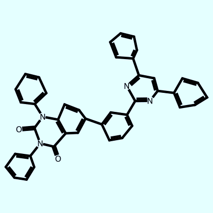 O=c1c2cc(-c3cccc(-c4nc(-c5ccccc5)cc(-c5ccccc5)n4)c3)ccc2n(-c2ccccc2)c(=O)n1-c1ccccc1